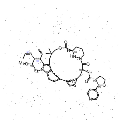 C=C/C(=C(\N=C/C)[C@H](C)OC)c1c2c3cc(ccc3n1CC)-c1csc(n1)C[C@H](NC(=O)[C@@H]1CCO[C@H]1c1ccncc1)C(=O)N1CCC[C@H](N1)C(=O)OCC(C)(C)C2